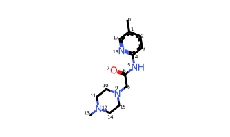 Cc1ccc(NC(=O)CN2CCN(C)CC2)nc1